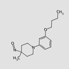 CCCCOc1cccc(N2CCC(C)(N=O)CC2)c1